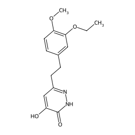 CCOc1cc(CCc2cc(O)c(=O)[nH]n2)ccc1OC